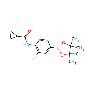 CC1(C)OB(c2ccc(NC(=O)C3CC3)c(F)c2)OC1(C)C